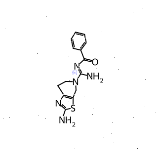 N/C(=N\C(=O)c1ccccc1)N1CCc2nc(N)sc2C1